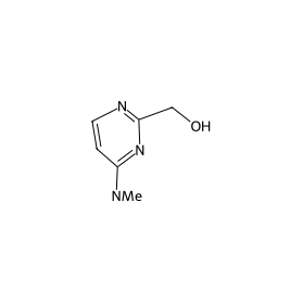 CNc1ccnc(CO)n1